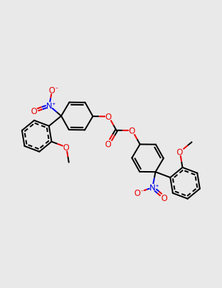 COc1ccccc1C1([N+](=O)[O-])C=CC(OC(=O)OC2C=CC(c3ccccc3OC)([N+](=O)[O-])C=C2)C=C1